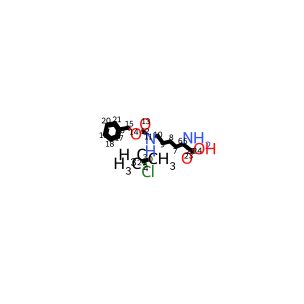 CC(C)(C)Cl.NC(CCCCNC(=O)OCc1ccccc1)C(=O)O